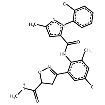 CNC(=O)C1CC(c2cc(Cl)cc(C)c2NC(=O)c2cc(C)nn2-c2ccccc2Cl)=NO1